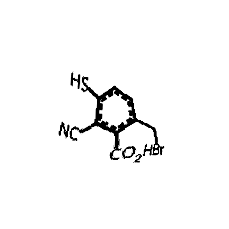 N#Cc1c(S)ccc(CBr)c1C(=O)O